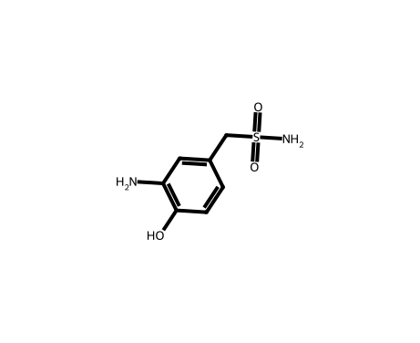 Nc1cc(CS(N)(=O)=O)ccc1O